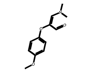 COc1ccc(O/C(C=O)=C/N(C)C)cc1